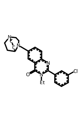 CCn1c(-c2cccc(Cl)c2)nc2ccc(N3CCN4CCC3CC4)cc2c1=O